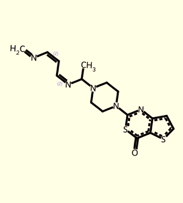 C=N/C=C\C=N/C(C)N1CCN(c2nc3ccsc3c(=O)s2)CC1